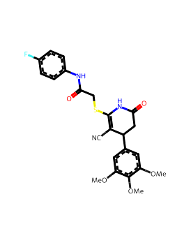 COc1cc(C2CC(=O)NC(SCC(=O)Nc3ccc(F)cc3)=C2C#N)cc(OC)c1OC